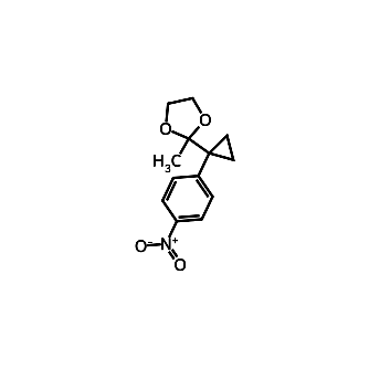 CC1(C2(c3ccc([N+](=O)[O-])cc3)CC2)OCCO1